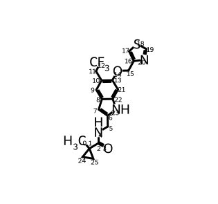 CC1(C(=O)NCc2cc3cc(CC(F)(F)F)c(OCc4cscn4)cc3[nH]2)CC1